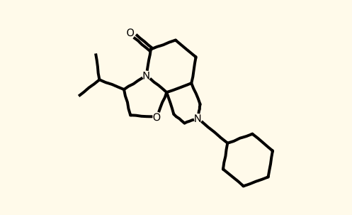 CC(C)C1COC23CCN(C4CCCCC4)CC2CCC(=O)N13